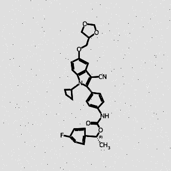 C[C@@H](OC(=O)Nc1ccc(-c2c(C#N)c3cc(OCC4COCO4)ccc3n2C2CCC2)cc1)c1ccc(F)cc1